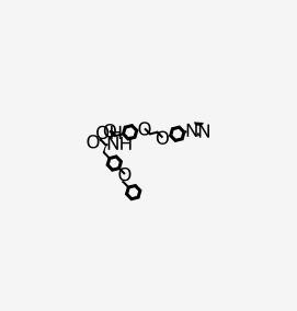 O=C(N[C@@H](Cc1ccc(OCc2ccccc2)cc1)C(=O)O)c1ccc(OCCOc2ccc(-n3ccnc3)cc2)cc1